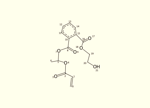 C=CC(=O)OC(C)OC(=O)c1ccccc1C(=O)OCCO